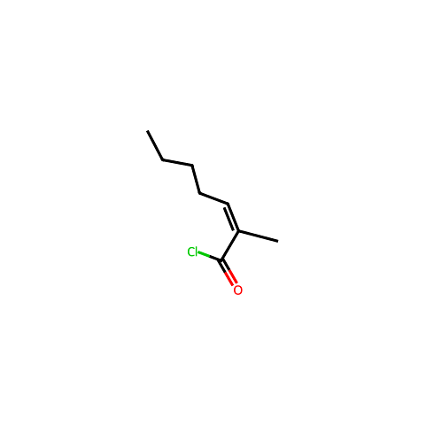 CCCC/C=C(/C)C(=O)Cl